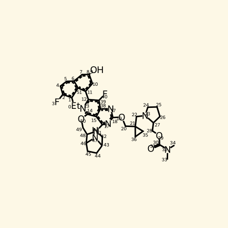 CCc1c(F)ccc2cc(O)cc(-c3nc4c5c(nc(OCC6(CN7CCCC7COC(=O)N(C)C)CC6)nc5c3F)N3CC5CCC(N5)C3CO4)c12